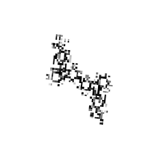 C[Si](C)(C)c1cnc(-n2c3ccccc3c3cc(-c4ccc5c(c4)c4ccccc4n5-c4ncc(S(C)(C)C)cn4)ccc32)nc1